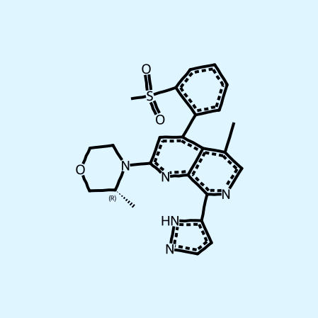 Cc1cnc(-c2ccn[nH]2)c2nc(N3CCOC[C@H]3C)cc(-c3ccccc3S(C)(=O)=O)c12